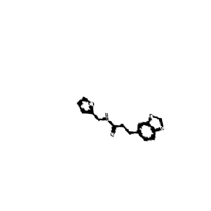 O=C(CCc1ccc2c(c1)OCO2)NCc1ccco1